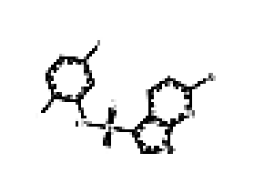 O=S(=O)(Nc1cc(F)ccc1F)c1c[nH]c2nc(Br)ccc12